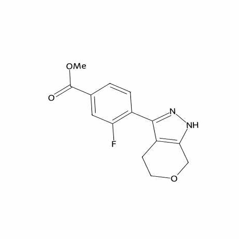 COC(=O)c1ccc(-c2n[nH]c3c2CCOC3)c(F)c1